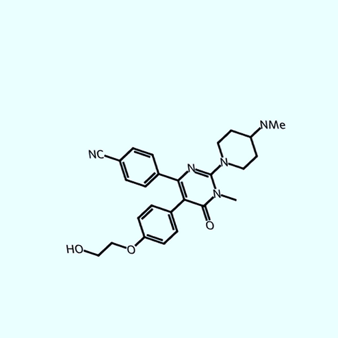 CNC1CCN(c2nc(-c3ccc(C#N)cc3)c(-c3ccc(OCCO)cc3)c(=O)n2C)CC1